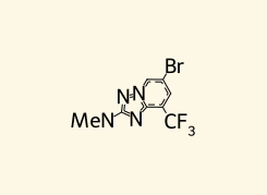 CNc1nc2c(C(F)(F)F)cc(Br)cn2n1